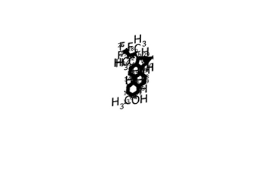 C[C@@H]([C@H]1[C@H]2C[C@H]2[C@H]2[C@@H]3CC[C@@H]4C[C@](C)(O)CC[C@@H]4[C@H]3CC[C@@]21C)[C@H](O)C(F)(F)F